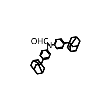 O=CN(c1ccc(C23CC4CC(CC(C4)C2)C3)cc1)c1ccc(C23CC4CC(CC(C4)C2)C3)cc1